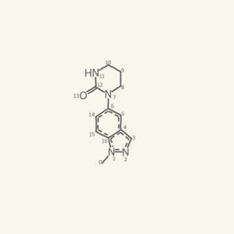 Cn1ncc2cc(N3CCCNC3=O)ccc21